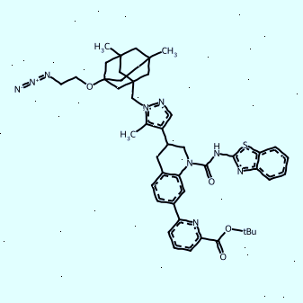 Cc1c(C2Cc3ccc(-c4cccc(C(=O)OC(C)(C)C)n4)cc3N(C(=O)Nc3nc4ccccc4s3)C2)cnn1CC12CC3(C)CC(C)(C1)CC(OCCN=[N+]=[N-])(C3)C2